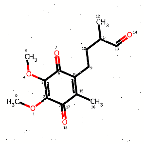 COC1=C(OC)C(=O)C(CCC(C)[C]=O)=C(C)C1=O